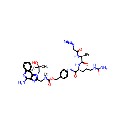 CCN(Cc1nc2c(N)nc3ccccc3c2n1CC(C)(C)O)C(=O)OCc1ccc(NC(=O)[C@H](CCCNC(N)=O)NC(=O)[C@@H](NC(=O)CN=[N+]=[N-])C(C)C)cc1